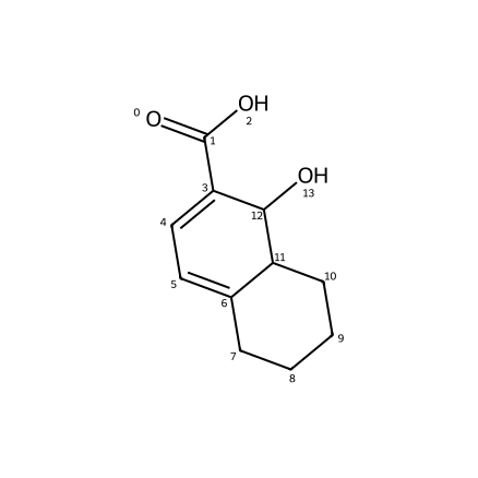 O=C(O)C1=CC=C2CCCCC2C1O